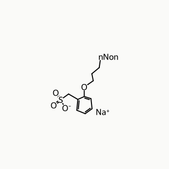 CCCCCCCCCCCCOc1ccccc1CS(=O)(=O)[O-].[Na+]